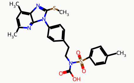 CSc1nc2c(C)cc(C)nc2n1-c1ccc(CCN(C(=O)O)S(=O)(=O)c2ccc(C)cc2)cc1